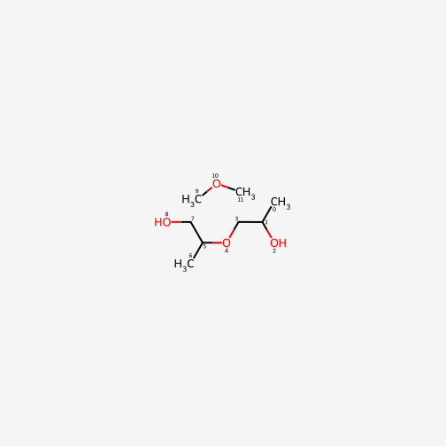 CC(O)COC(C)CO.COC